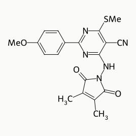 COc1ccc(-c2nc(NN3C(=O)C(C)=C(C)C3=O)c(C#N)c(SC)n2)cc1